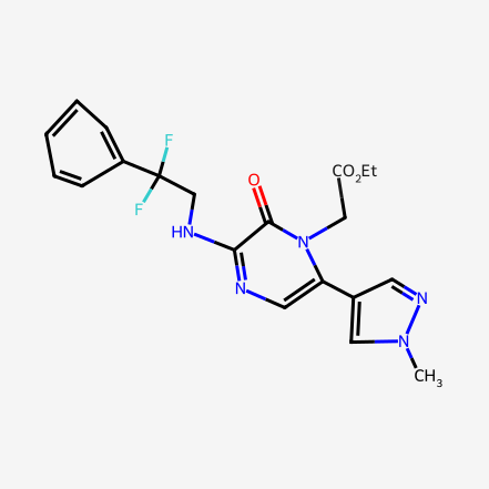 CCOC(=O)Cn1c(-c2cnn(C)c2)cnc(NCC(F)(F)c2ccccc2)c1=O